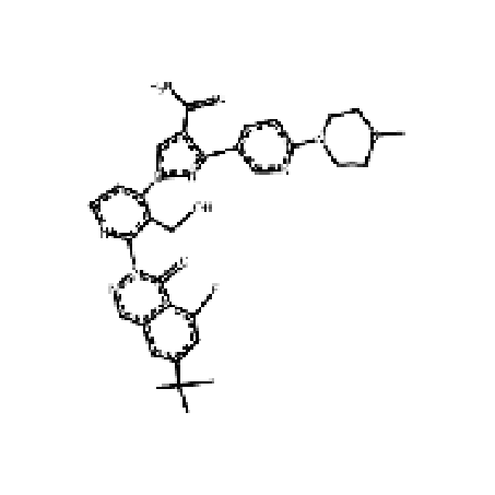 CN1CCN(c2ccc(-c3nn(-c4ccnc(-n5ncc6cc(C(C)(C)C)cc(F)c6c5=O)c4CO)cc3C(N)=O)cn2)CC1